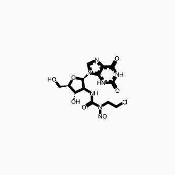 O=NN(CCCl)C(=O)NC1[C@H](n2cnc3c(=O)[nH]c(=O)[nH]c32)O[C@H](CO)[C@H]1O